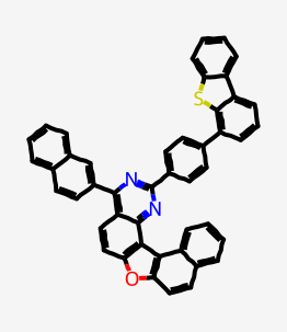 c1ccc2cc(-c3nc(-c4ccc(-c5cccc6c5sc5ccccc56)cc4)nc4c3ccc3oc5ccc6ccccc6c5c34)ccc2c1